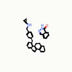 C1=CC2=C(CC1)CCc1c2ccc2cccc(Cc3ccc(CNC4CC4)cc3)c12.O=c1[nH]ncc2ccccc12